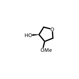 COC1COC[C@@H]1O